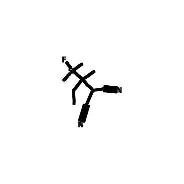 CCC(C)(C(C#N)C#N)[Si](C)(C)F